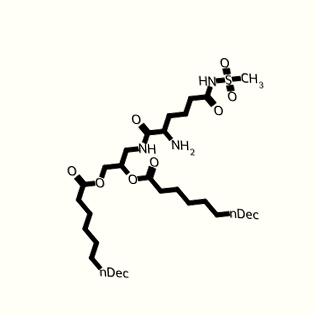 CCCCCCCCCCCCCCCC(=O)OCC(CNC(=O)C(N)CCCC(=O)NS(C)(=O)=O)OC(=O)CCCCCCCCCCCCCCC